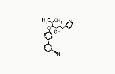 CC(C)C(Oc1ccc(-c2cccc(C#N)c2)cc1)C(O)CCc1cccnc1